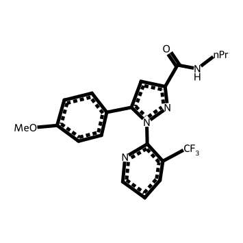 CCCNC(=O)c1cc(-c2ccc(OC)cc2)n(-c2ncccc2C(F)(F)F)n1